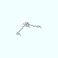 CCCCCCCCCC(=O)C(C)(C)CCCCCCCCC